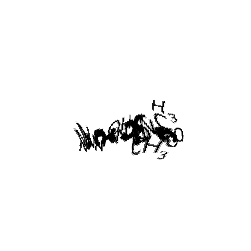 COC1CN(CC(O)c2ccc(-n3cnnn3)nc2)CCC12CCN(C1=C(C)C(=O)OC1)C2=O